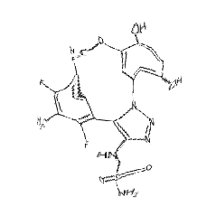 COc1cc(-n2nnc(NS(N)(=O)=O)c2-c2cc(F)c(F)c(C)c2F)c(O)cc1O